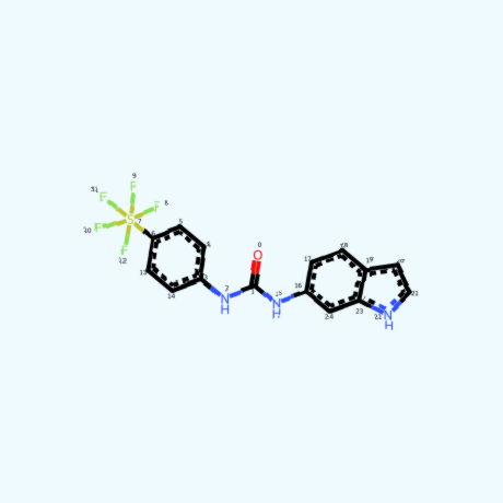 O=C(Nc1ccc(S(F)(F)(F)(F)F)cc1)Nc1ccc2cc[nH]c2c1